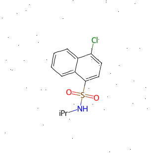 CC(C)NS(=O)(=O)c1ccc(Cl)c2ccccc12